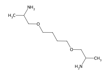 CC(N)COCCCCOCC(C)N